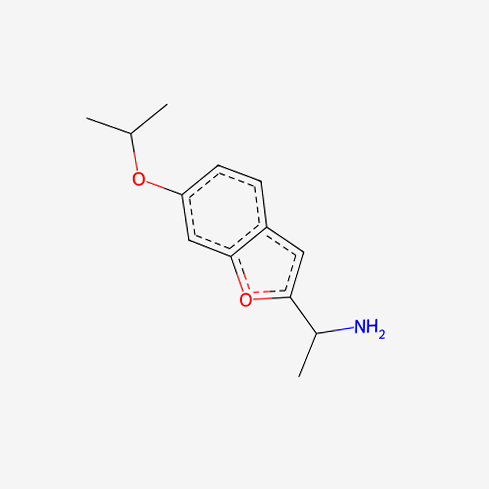 CC(C)Oc1ccc2cc(C(C)N)oc2c1